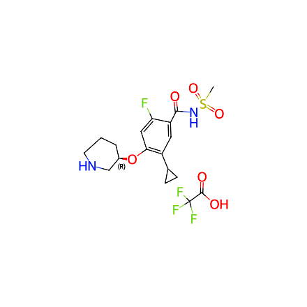 CS(=O)(=O)NC(=O)c1cc(C2CC2)c(O[C@@H]2CCCNC2)cc1F.O=C(O)C(F)(F)F